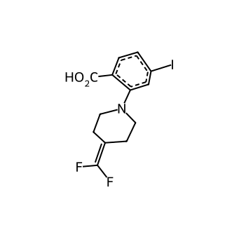 O=C(O)c1ccc(I)cc1N1CCC(=C(F)F)CC1